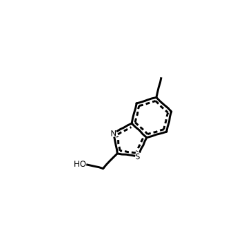 Cc1ccc2sc(CO)nc2c1